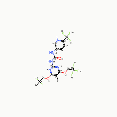 Cc1c(OCC(C)(F)F)nc(NC(=O)Nc2ccc(C(F)(F)F)nc2)nc1OCC(F)(F)F